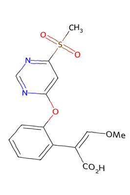 COC=C(C(=O)O)c1ccccc1Oc1cc(S(C)(=O)=O)ncn1